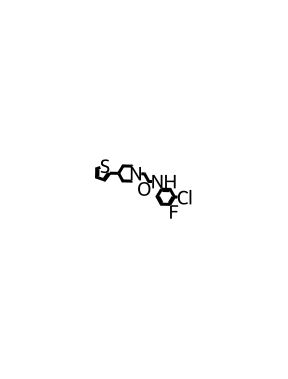 O=C(CN1CCC(c2cccs2)CC1)Nc1ccc(F)c(Cl)c1